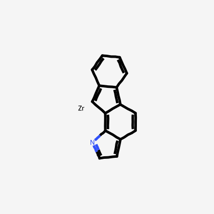 C1=Nc2c3c(ccc2=C1)=c1ccccc1=C3.[Zr]